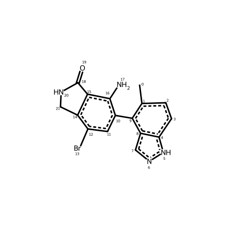 Cc1ccc2[nH]ncc2c1-c1cc(Br)c2c(c1N)C(=O)NC2